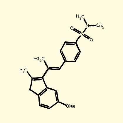 COc1ccc2c(c1)C(C(=Cc1ccc(S(=O)(=O)N(C)C)cc1)C(=O)O)=C(C)C2